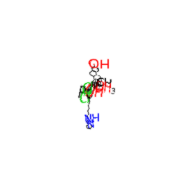 C[C@]12CCC3c4ccc(O)cc4CCC3C1C[C@@](CO)(CCCCCCCCCCNCc1ccccn1)[C@@H]2O.[Cl][Pt][Cl]